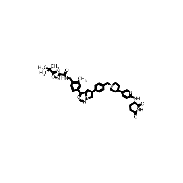 Cc1cc(-c2ncnn3cc(-c4ccc(CN5CCC(c6ccc(N[C@H]7CCC(=O)NC7=O)nc6)CC5)cc4)cc23)ccc1CNC(=O)c1noc(C(C)(C)C)n1